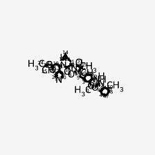 COc1cc(CN2C(=O)N([C@@H](CC3CC3)C(=O)NC(CC(=O)OC(C)C)c3ccncc3)C(=O)C2(C)C)ccc1NC(=O)Nc1ccccc1C